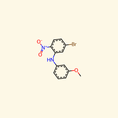 COc1cccc(Nc2cc(Br)ccc2[N+](=O)[O-])c1